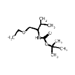 CCOCC(NC(=O)OC(C)(C)C)C(C)C